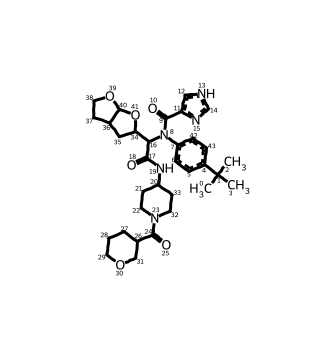 CC(C)(C)c1ccc(N(C(=O)c2c[nH]cn2)C(C(=O)NC2CCN(C(=O)C3CCCOC3)CC2)C2CC3CCOC3O2)cc1